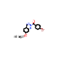 CCCCCCCOc1ccc(/C=N\NC(=O)c2ccc(Br)cc2)cc1